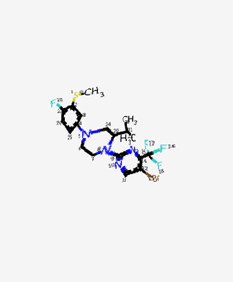 CSc1cc(N2CCN(c3ncc(Br)c(C(F)(F)F)n3)C(C(C)C)C2)ccc1F